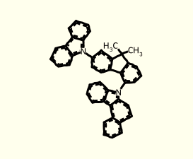 CC1(C)c2cc(-n3c4ccccc4c4ccccc43)ccc2-c2c(-n3c4ccccc4c4c5ccccc5ccc43)cccc21